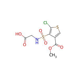 COC(=O)c1csc(Cl)c1S(=O)(=O)NCC(=O)O